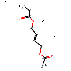 CCC(=O)OCC=CCOC(C)=O